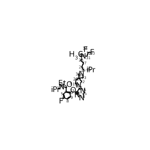 CCN(C(=O)c1cc(F)ccc1Oc1nncnc1N1CCC2(C1)CN([C@H](CCCN(C)CC(F)F)C(C)C)C2)C(C)C